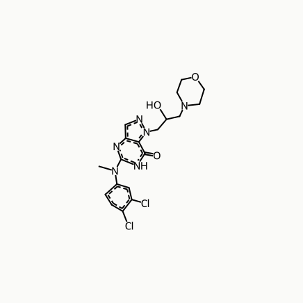 CN(c1ccc(Cl)c(Cl)c1)c1nc2cnn(CC(O)CN3CCOCC3)c2c(=O)[nH]1